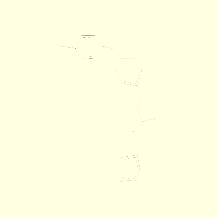 CCc1ccc(Cc2ccc(OCC(O)COc3ccccc3)cc2)cc1